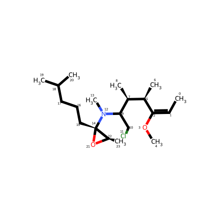 C/C=C(/OC)[C@H](C)[C@H](C)C(CCl)N(C)[C@@]1(CCCC(C)C)O[C@@H]1C